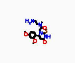 COc1ccc(-c2cc(=O)[nH]c(=S)n2CC(=O)N(C)CCN)c(OC)c1